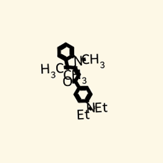 CCN(CC)c1ccc(C(=O)C=C2N(C)c3ccccc3C2(C)C)cc1